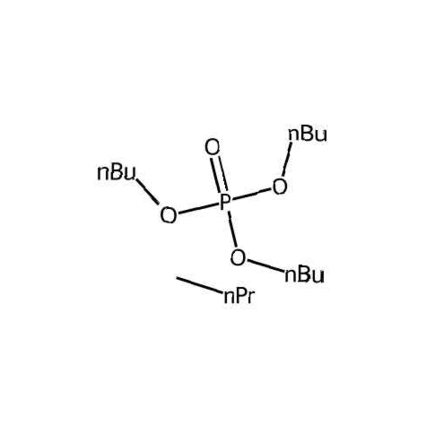 CCCC.CCCCOP(=O)(OCCCC)OCCCC